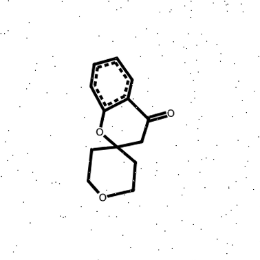 O=C1CC2(CCOCC2)Oc2ccccc21